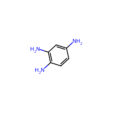 Nc1ccc(N)c(N)c1